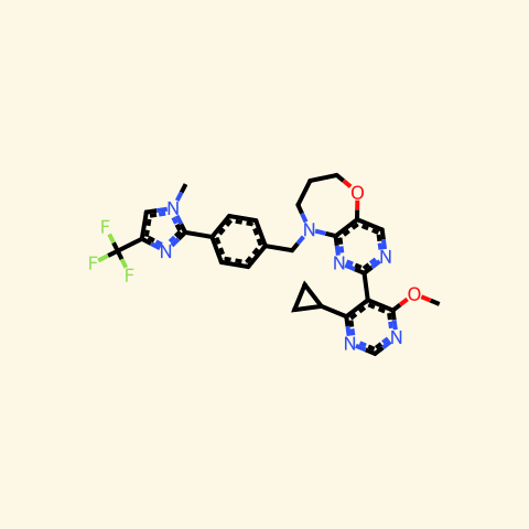 COc1ncnc(C2CC2)c1-c1ncc2c(n1)N(Cc1ccc(-c3nc(C(F)(F)F)cn3C)cc1)CCCO2